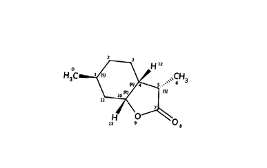 C[C@H]1CC[C@@H]2[C@H](C)C(=O)O[C@@H]2C1